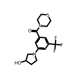 O=C(c1cc(N2CCC(O)C2)cc(C(F)(F)F)c1)N1CCSCC1